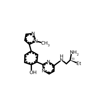 CC[C@H](N)CNc1ccnc(-c2cc(-c3ccnn3C)ccc2O)n1